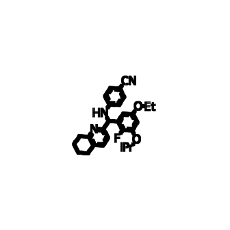 CCOc1cc(OC(C)C)c(F)c(C(Nc2ccc(C#N)cc2)c2ccc3c(n2)CCCC3)c1